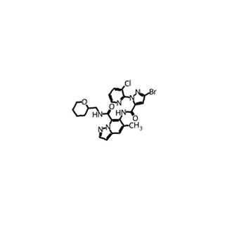 Cc1cc2ccnn2c(C(=O)NCC2CCCCO2)c1NC(=O)c1cc(Br)nn1-c1ncccc1Cl